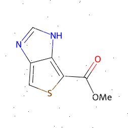 COC(=O)c1scc2nc[nH]c12